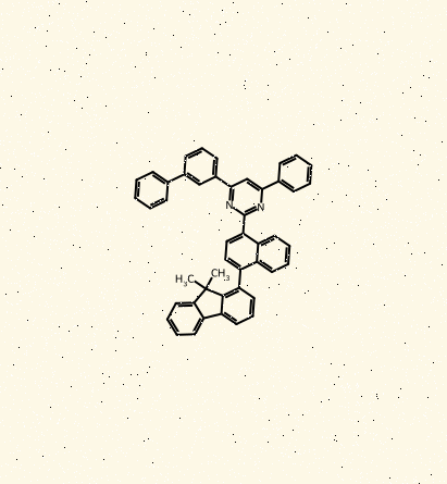 CC1(C)c2ccccc2-c2cccc(-c3ccc(-c4nc(-c5ccccc5)cc(-c5cccc(-c6ccccc6)c5)n4)c4ccccc34)c21